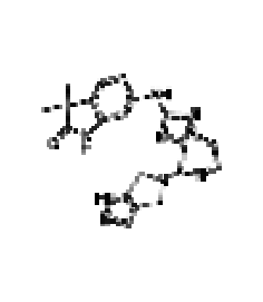 CC1(C)C(=O)Nc2cc(Nc3nc4c(N5Cc6cn[nH]c6C5)nccn4n3)ccc21